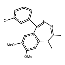 COc1cc2c(cc1OC)C(C)C(C)=NN=C2c1cccc(Cl)c1